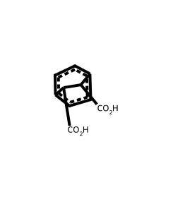 O=C(O)C1c2ccc(cc2)C1C(=O)O